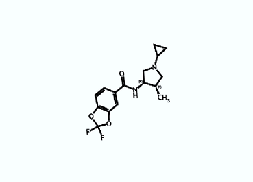 C[C@@H]1CN(C2CC2)C[C@@H]1NC(=O)c1ccc2c(c1)OC(F)(F)O2